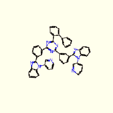 c1ccc(-c2ccccc2-c2nc(-c3cccc(-c4nc5ccccc5n4-c4cccnc4)c3)nc(-c3cccc(-c4nc5ccccc5n4-c4cccnc4)c3)n2)cc1